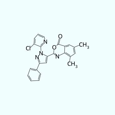 Cc1cc(C)c2nc(-c3cc(-c4ccccc4)nn3-c3ncccc3Cl)oc(=O)c2c1